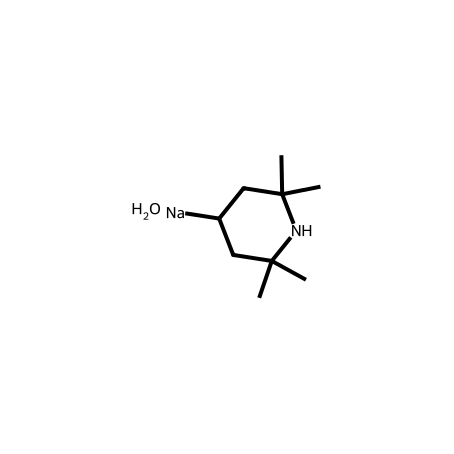 CC1(C)C[CH]([Na])CC(C)(C)N1.O